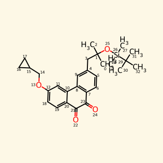 CC(C)(Cc1ccc2c(c1)-c1cc(OCC3CC3)ccc1C(=O)C2=O)O[Si](C)(C)C(C)(C)C